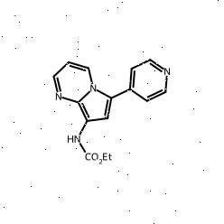 CCOC(=O)Nc1cc(-c2ccncc2)n2cccnc12